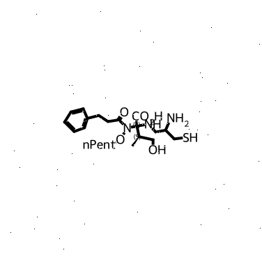 CCCCCON(C(=O)CCc1ccccc1)[C@@](NCC(N)CS)(C(=O)O)[C@H](C)CO